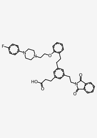 O=C(O)CCc1cc(CCc2ccccc2OCCN2CCN(c3ccc(F)cc3)CC2)cc(CCN2C(=O)c3ccccc3C2=O)c1